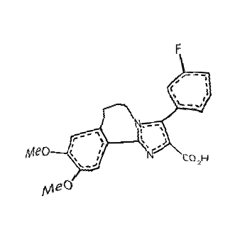 COc1cc2c(cc1OC)-c1nc(C(=O)O)c(-c3cccc(F)c3)n1CC2